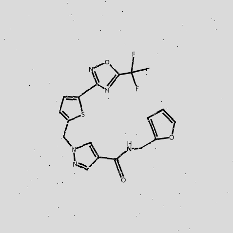 O=C(NCc1ccco1)c1cnn(Cc2ccc(-c3noc(C(F)(F)F)n3)s2)c1